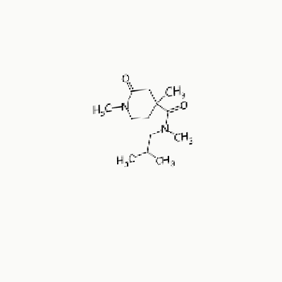 CC(C)CN(C)C(=O)C1(C)CCN(C)C(=O)C1